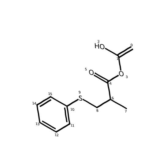 C=C(O)OC(=O)C(C)CSc1ccccc1